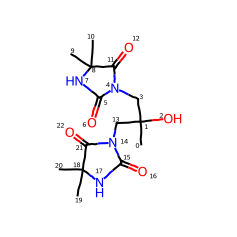 CC(O)(CN1C(=O)NC(C)(C)C1=O)CN1C(=O)NC(C)(C)C1=O